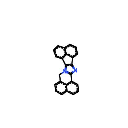 c1cc2c3c(cccc3c1)-c1nc3c(n1C2)-c1cccc2cccc-3c12